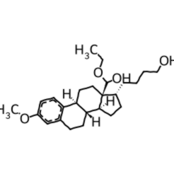 CCOC(O)[C@]12CC[C@@H]3c4ccc(OC)cc4CC[C@H]3[C@@H]1CC[C@H]2CCCCO